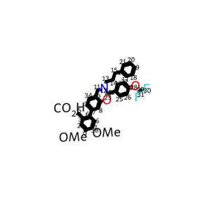 COc1cc(CC(=O)O)c(-c2ccc(CN(CCCc3ccccc3)C(=O)c3ccc(OC(F)F)cc3)cc2)cc1OC